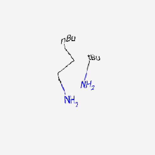 CC(C)(C)N.CCCCCCN